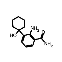 NC(=O)c1cccc(C2(O)CCCCC2)c1N